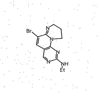 CCNc1ncc2c(n1)N1CCCN=C1C(Br)=C2